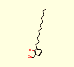 CCCCCCCCCCCCc1cccc(C=O)c1O